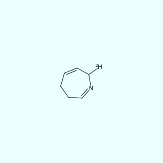 [2H]C1C=CCCC=N1